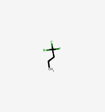 CCCC(F)(F)Br